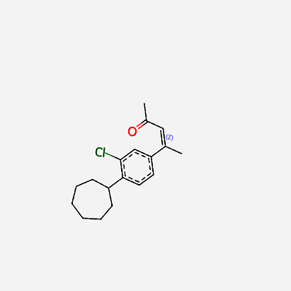 CC(=O)/C=C(/C)c1ccc(C2CCCCCC2)c(Cl)c1